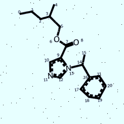 CCCC(C)COC(=O)c1cncn1C(C)c1ccccc1